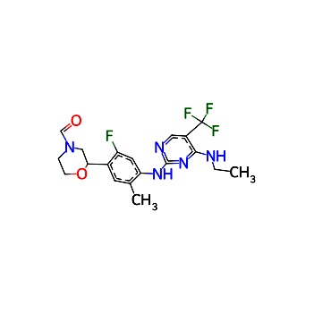 CCNc1nc(Nc2cc(F)c(C3CN(C=O)CCO3)cc2C)ncc1C(F)(F)F